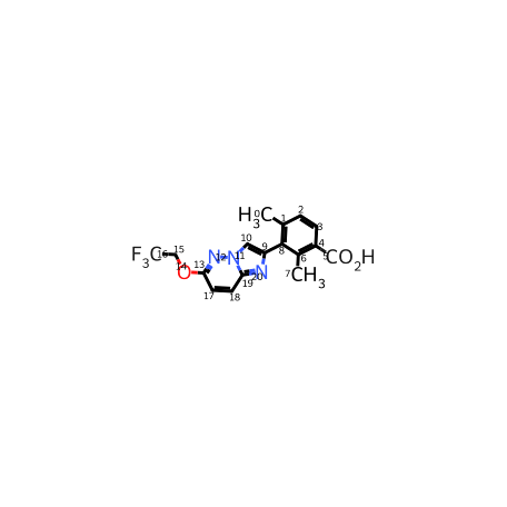 Cc1ccc(C(=O)O)c(C)c1-c1cn2nc(OCC(F)(F)F)ccc2n1